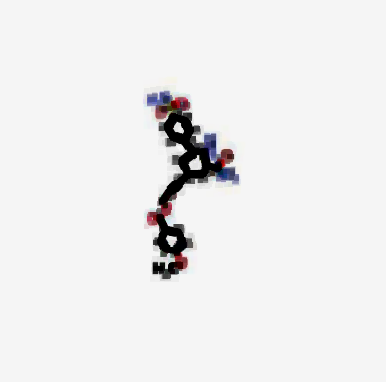 COc1ccc(C(=O)OCC#Cc2cc(C(N)=O)c(N)c(-c3ccc(S(N)(=O)=O)cc3)c2)cc1